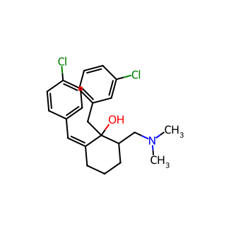 CN(C)CC1CCC/C(=C/c2ccc(Cl)cc2)C1(O)Cc1cccc(Cl)c1